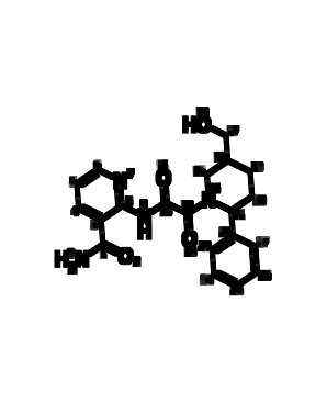 NC(=O)c1cccnc1NC(=O)C(=O)N1CC(CO)CCC1c1ccccc1